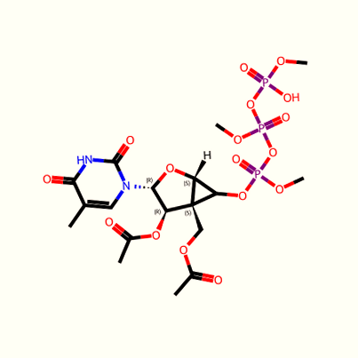 COP(=O)(O)OP(=O)(OC)OP(=O)(OC)OC1[C@H]2O[C@@H](n3cc(C)c(=O)[nH]c3=O)[C@H](OC(C)=O)[C@@]12COC(C)=O